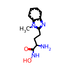 Cn1c(CCC(N)C(=O)NO)nc2ccccc21